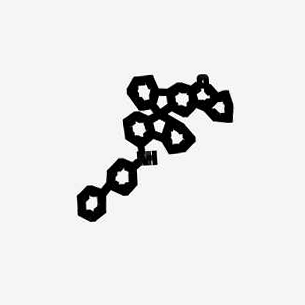 c1ccc(-c2ccc(Nc3cccc4c3-c3ccccc3C43c4ccccc4-c4cc5oc6ccccc6c5cc43)cc2)cc1